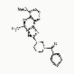 COc1cccc2c1nc(N)n1nc([C@@H]3CCCN(C(=O)c4ccccc4)C3)nc21